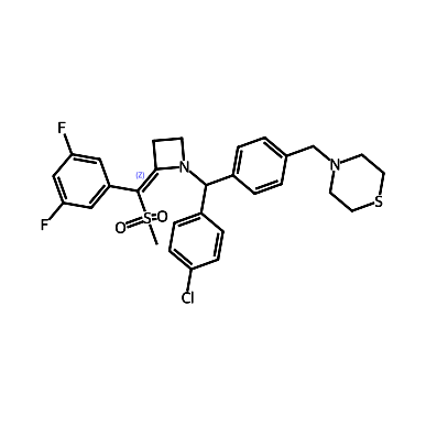 CS(=O)(=O)/C(=C1/CCN1C(c1ccc(Cl)cc1)c1ccc(CN2CCSCC2)cc1)c1cc(F)cc(F)c1